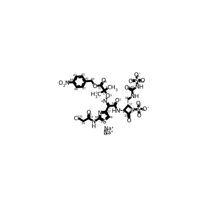 CC(C)(O/N=C(\C(=O)N[C@H]1C(=O)N(S(=O)(=O)[O-])[C@H]1CNC(=O)NS(=O)(=O)[O-])c1csc(NC(=O)CCl)n1)C(=O)OCc1ccc([N+](=O)[O-])cc1.[Na+].[Na+]